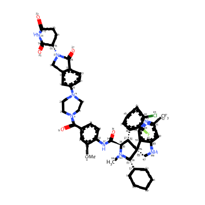 COc1cc(C(=O)N2CCN(c3ccc4c(c3)CN([C@H]3CCC(=O)NC3=O)C4=O)CC2)ccc1NC(=O)[C@H]1[C@H](c2cccc(Cl)c2F)[C@]2(CNc3cc(C(F)(F)F)ncc32)[C@H](C2CCCCC2)N1C